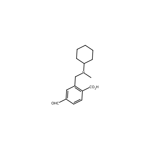 CN(Cc1cc(C=O)ccc1C(=O)O)C1CCCCC1